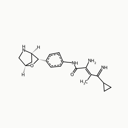 C/C(C(=N)C1CC1)=C(/N)C(=O)Nc1ccc([C@@H]2O[C@H]3CN[C@@H]2C3)cc1